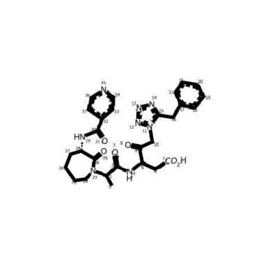 CC(C(=O)NC(CC(=O)O)C(=O)Cn1nnnc1Cc1ccccc1)N1CCCC[C@H](NC(=O)c2ccncc2)C1=O